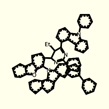 CCC1C(c2cccc3c2c2ccccc2n3-c2ccccc2)=NC(c2ccc(-c3ccccc3)cc2)=NC1c1ccc2c(oc3ccccc32)c1-n1c2cc3ccccc3cc2c2ccc3ccccc3c21